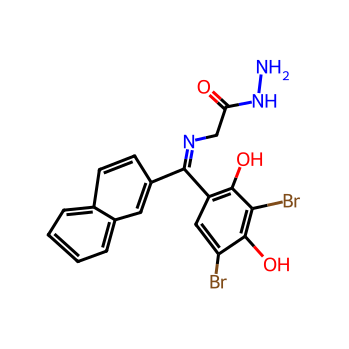 NNC(=O)CN=C(c1ccc2ccccc2c1)c1cc(Br)c(O)c(Br)c1O